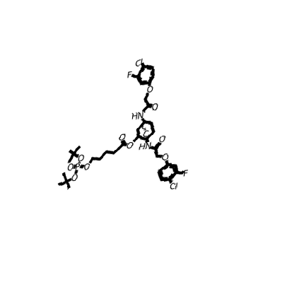 CC(C)(C)OP(=O)(OCCCCC(=O)OC1CC2(NC(=O)COc3ccc(Cl)c(F)c3)CCC1(NC(=O)COc1ccc(Cl)c(F)c1)CC2)OC(C)(C)C